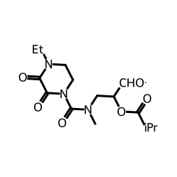 CCN1CCN(C(=O)N(C)CC([C]=O)OC(=O)C(C)C)C(=O)C1=O